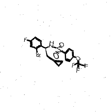 O=S(=O)(N[C@@H](CC1CC1)c1ccc(F)cc1Br)c1ccc(OC(F)(F)F)cc1